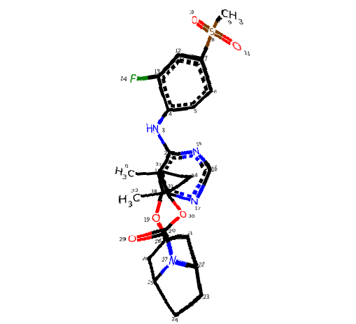 Cc1c(Nc2ccc(S(C)(=O)=O)cc2F)ncnc1OC1CC2CCC(C1)N2C(=O)OC1(C)CC1